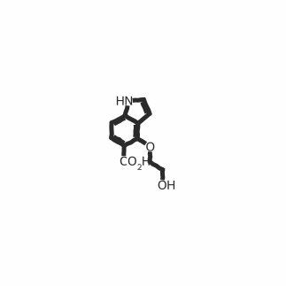 O=C(O)c1ccc2[nH]ccc2c1OCCO